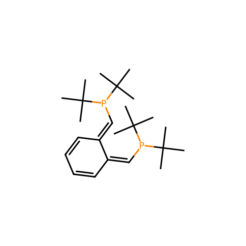 CC(C)(C)P(/C=c1/cccc/c1=C\P(C(C)(C)C)C(C)(C)C)C(C)(C)C